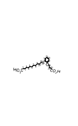 O=C(O)CCCCCCCCCCCSc1ccccc1OCCCC(=O)O